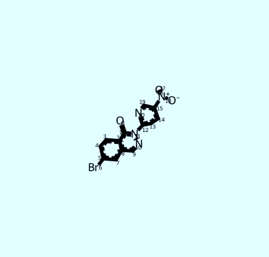 O=c1c2ccc(Br)cc2cnn1-c1ccc([N+](=O)[O-])cn1